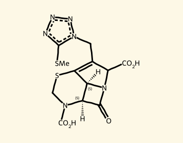 CSc1nnnn1CC1=C2SCN(C(=O)O)[C@@H]3C(=O)N(C1C(=O)O)[C@H]23